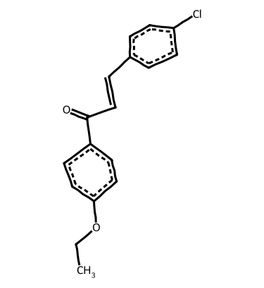 CCOc1ccc(C(=O)/C=C/c2ccc(Cl)cc2)cc1